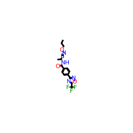 CCCO/N=B/C(C)NC(=O)c1ccc(-c2noc(C(F)(F)F)n2)cc1